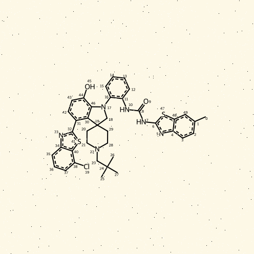 Cc1ccc2nc(NC(=O)Nc3ccccc3N3CC4(CCN(CC(C)(C)C)CC4)c4c(-c5nc6cccc(Cl)c6s5)ccc(O)c43)sc2c1